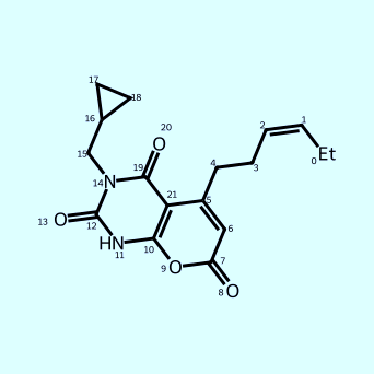 CC/C=C\CCc1cc(=O)oc2[nH]c(=O)n(CC3CC3)c(=O)c12